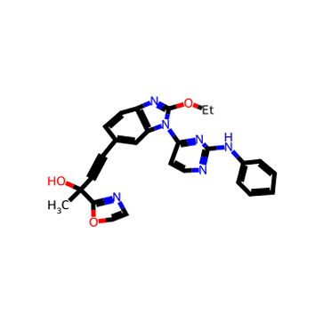 CCOc1nc2ccc(C#CC(C)(O)c3ncco3)cc2n1-c1ccnc(Nc2ccccc2)n1